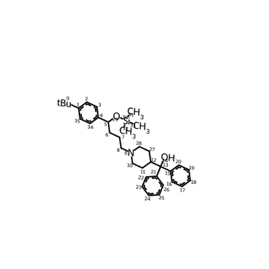 CC(C)(C)c1ccc(C(CCCN2CCC(C(O)(c3ccccc3)c3ccccc3)CC2)O[Si](C)(C)C)cc1